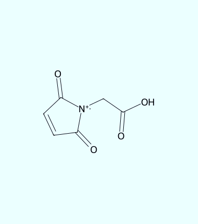 O=C(O)C[N+]1C(=O)C=CC1=O